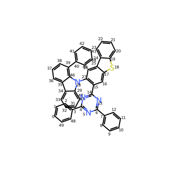 c1ccc(-c2nc(-c3ccccc3)nc(-c3cc4sc5ccccc5c4cc3-n3c4ccccc4c4cccc(-c5ccccc5)c43)n2)cc1